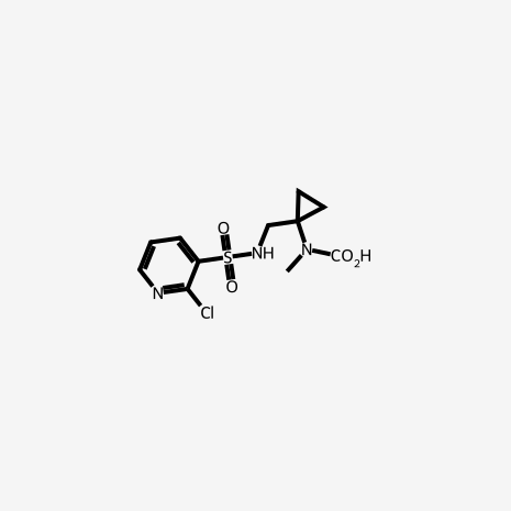 CN(C(=O)O)C1(CNS(=O)(=O)c2cccnc2Cl)CC1